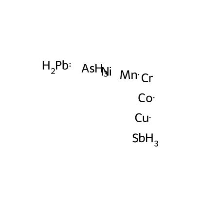 [AsH3].[Co].[Cr].[Cu].[Mn].[Ni].[PbH2].[SbH3]